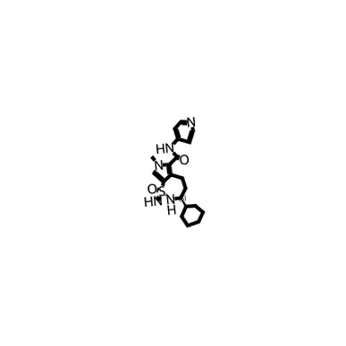 Cn1cc2c(c1C(=O)Nc1ccncc1)CC[C@@H](C1CCCCC1)NS2(=N)=O